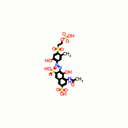 CC(=O)Nc1cc(S(=O)(=O)O)cc2cc(S(=O)(=O)O)c(/N=N/c3cc(C)c(S(=O)(=O)CCOS(=O)(=O)O)cc3O)c(O)c12